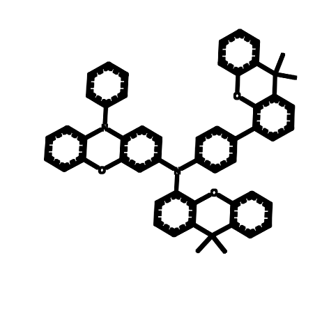 CC1(C)c2ccccc2Oc2c(-c3ccc(N(c4ccc5c(c4)Oc4ccccc4N5c4ccccc4)c4cccc5c4Oc4ccccc4C5(C)C)cc3)cccc21